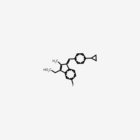 CC1=C(CC(=O)O)c2cc(F)ccc2/C1=C\c1ccc(C2CC2)cc1